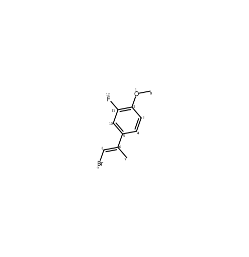 COc1ccc(/C(C)=C/Br)cc1F